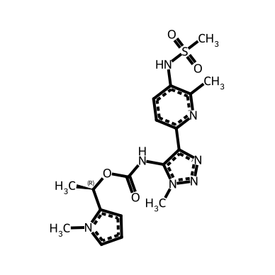 Cc1nc(-c2nnn(C)c2NC(=O)O[C@H](C)c2cccn2C)ccc1NS(C)(=O)=O